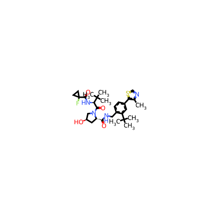 Cc1ncsc1-c1ccc(CNC(=O)[C@@H]2C[C@@H](O)CN2C(=O)[C@@H](NC(=O)C2(F)CC2)C(C)(C)C)c(C(C)(C)C)c1